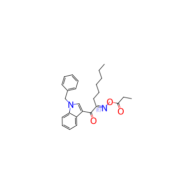 CCCCCC/C(=N\OC(=O)CC)C(=O)c1cn(Cc2ccccc2)c2ccccc12